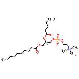 CCCCCCCCCCCCCCCCCC(=O)OC[C@H](COP(=O)([O-])OCC[N+](C)(C)C)OC(=O)CCCC=O